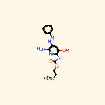 CCCCCCCCCCCCOC(=O)Nc1nc(N)c(/N=N/c2ccccc2)cc1O